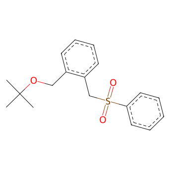 CC(C)(C)OCc1ccccc1CS(=O)(=O)c1ccccc1